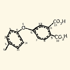 Cc1ccc(Oc2ccc(C(=O)O)c(C(=O)O)c2)cc1